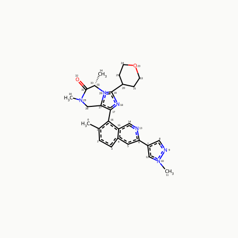 Cc1ccc2cc(-c3cnn(C)c3)ncc2c1-c1nc(C2CCOCC2)n2c1CN(C)C(=O)[C@@H]2C